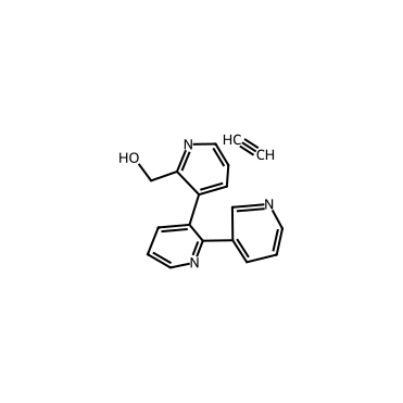 C#C.OCc1ncccc1-c1cccnc1-c1cccnc1